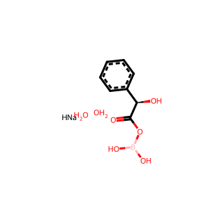 O.O.O=C(OB(O)O)[C@H](O)c1ccccc1.[NaH]